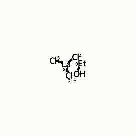 CCO.[Cl][La]([Cl])[Cl]